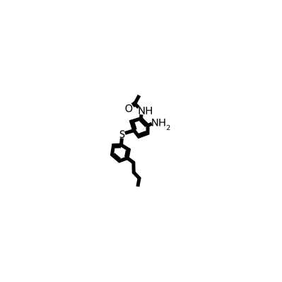 CCCCc1cccc(Sc2ccc(N)c(NC(C)=O)c2)c1